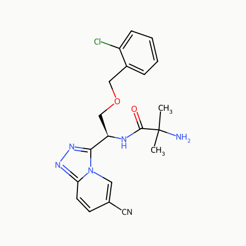 CC(C)(N)C(=O)N[C@H](COCc1ccccc1Cl)c1nnc2ccc(C#N)cn12